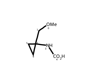 COCC1(NC(=O)O)CC1